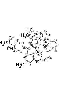 Cc1cc2c3c(c1)N(c1ccc(C(C)(C)C)cc1)c1cc(C(C)(C)C)cc4c1B3c1c(cccc1[Si]4(c1ccccc1)c1ccccc1)O2